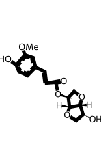 COc1cc(C=CC(=O)O[C@H]2CO[C@H]3[C@@H]2OC[C@H]3O)ccc1O